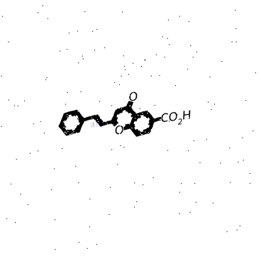 O=C(O)c1ccc2oc(/C=C/c3ccccc3)cc(=O)c2c1